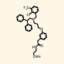 COCCNC(=O)Cc1cccc(OCCCN(Cc2cccc(C(F)(F)F)c2Cl)CC(c2ccccc2)c2ccccc2)c1